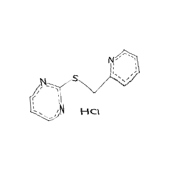 Cl.c1ccc(CSc2ncccn2)nc1